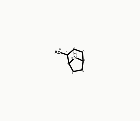 CC(=O)C1CCC2CC[C]1N2